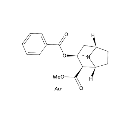 COC(=O)[C@H]1[C@@H](OC(=O)c2ccccc2)C[C@@H]2CC[C@H]1N2C.[Au]